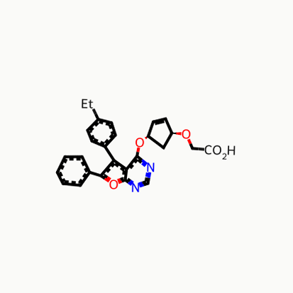 CCc1ccc(-c2c(-c3ccccc3)oc3ncnc(O[C@@H]4C=C[C@@H](OCC(=O)O)C4)c23)cc1